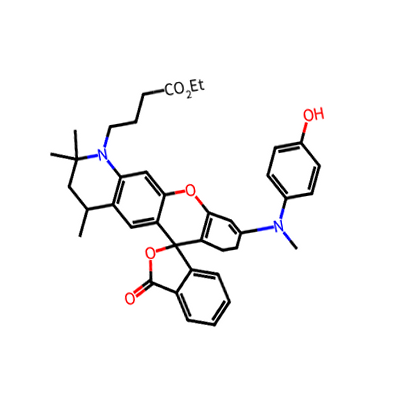 CCOC(=O)CCCN1c2cc3c(cc2C(C)CC1(C)C)C1(OC(=O)c2ccccc21)C1=C(C=C(N(C)c2ccc(O)cc2)CC1)O3